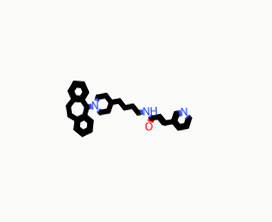 O=C(C=Cc1cccnc1)NCCCCC1CCN(C2c3ccccc3CCc3ccccc32)CC1